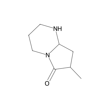 CC1CC2NCCCN2C1=O